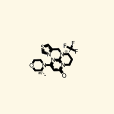 C[C@@H]1COCCN1c1cc(=O)n2c(n1)N(Cc1cscn1)[C@H](C(F)(F)F)CC2